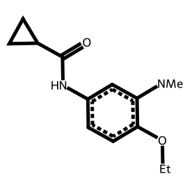 CCOc1ccc(NC(=O)C2CC2)cc1NC